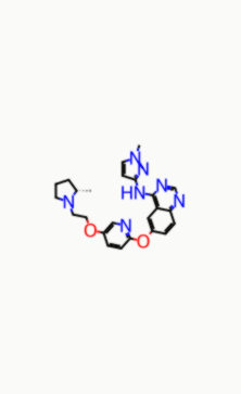 C[C@H]1CCCN1CCOc1ccc(Oc2ccc3ncnc(Nc4ccn(C)n4)c3c2)nc1